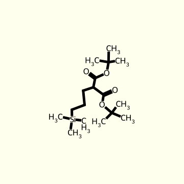 CC(C)(C)OC(=O)C(CCC[Si](C)(C)C)C(=O)OC(C)(C)C